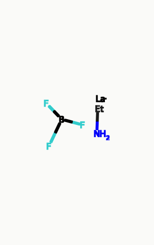 CCN.FB(F)F.[La]